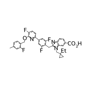 CCC1(Cn2c(Cc3c(F)cc(-c4ccc(F)c(OCc5ccc(C)cc5F)n4)cc3F)nc3ccc(C(=O)O)cc32)CC1